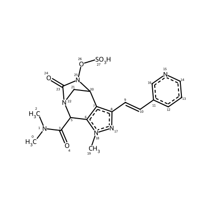 CN(C)C(=O)C1c2c(c(/C=C/c3cccnc3)nn2C)C2CN1C(=O)N2OS(=O)(=O)O